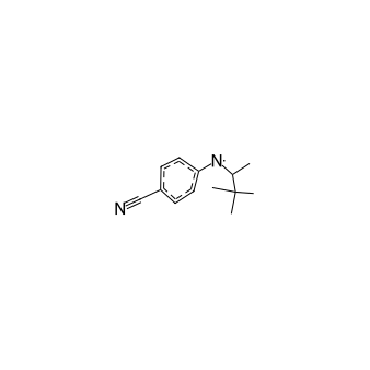 CC([N]c1ccc(C#N)cc1)C(C)(C)C